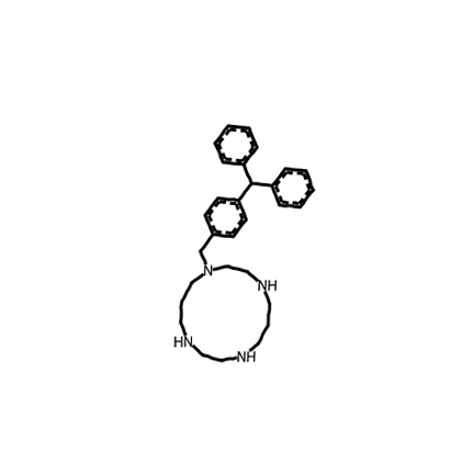 c1ccc(C(c2ccccc2)c2ccc(CN3CCCNCCNCCCNCC3)cc2)cc1